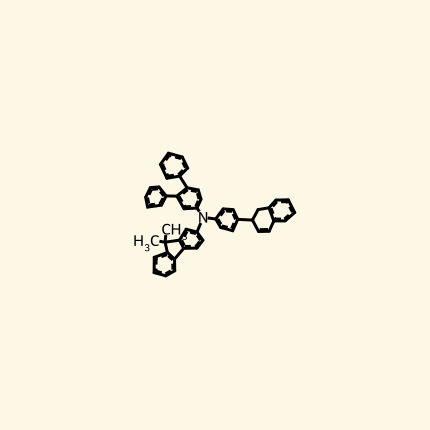 CC1(C)c2ccccc2-c2ccc(N(c3ccc(C4C=Cc5ccccc5C4)cc3)c3ccc(-c4ccccc4)c(-c4ccccc4)c3)cc21